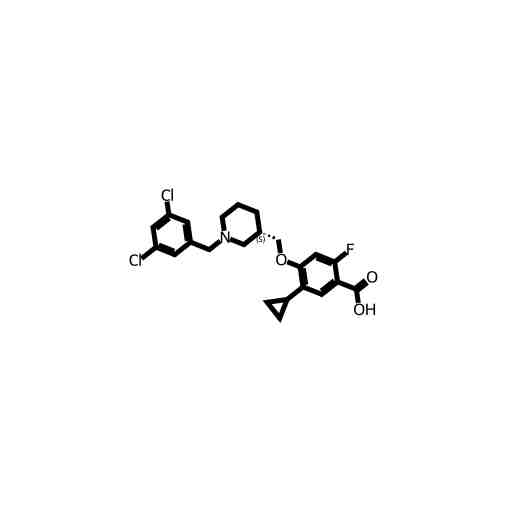 O=C(O)c1cc(C2CC2)c(OC[C@H]2CCCN(Cc3cc(Cl)cc(Cl)c3)C2)cc1F